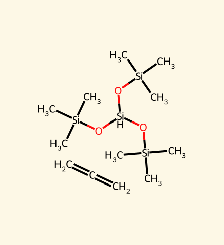 C=C=C.C[Si](C)(C)O[SiH](O[Si](C)(C)C)O[Si](C)(C)C